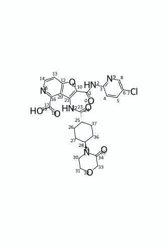 O=C(Nc1ccc(Cl)cn1)c1oc2ccnc(C(=O)O)c2c1NC(=O)[C@H]1CC[C@H](N2CCOCC2=O)CC1